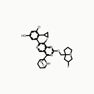 Oc1cc(Cl)c(C2CC2)c(-c2ncc3c(N4CC5CCC4CN5)nc(OCC45CCCN4CC(F)C5)nc3c2F)c1